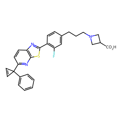 O=C(O)C1CN(CCCc2ccc(-c3nc4ccc(C5(c6ccccc6)C=C5)nc4s3)c(F)c2)C1